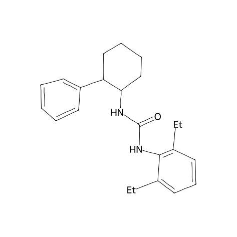 CCc1cccc(CC)c1NC(=O)NC1CCCCC1c1ccccc1